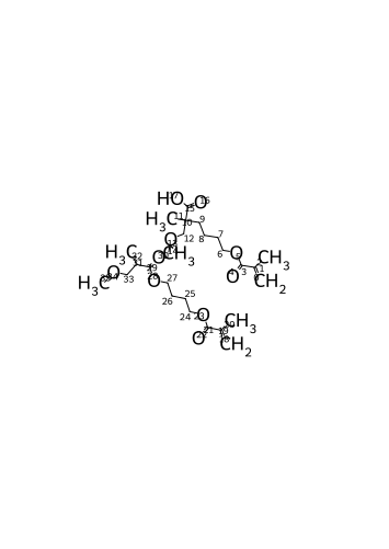 C=C(C)C(=O)OCCCCC(C)(COC)C(=O)O.C=C(C)C(=O)OCCCCOC(=O)C(C)COC